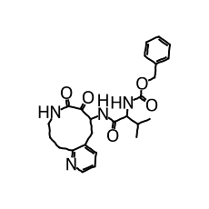 CC(C)C(NC(=O)OCc1ccccc1)C(=O)NC1Cc2cccnc2CCCNC(=O)C1=O